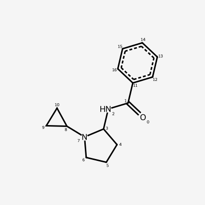 O=C(NC1CCCN1C1CC1)c1ccccc1